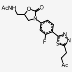 CC(=O)CCc1nnc(-c2ccc(N3CC(CNC(C)=O)OC3=O)cc2F)s1